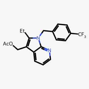 CCc1c(COC(C)=O)c2cccnc2n1Cc1ccc(C(F)(F)F)cc1